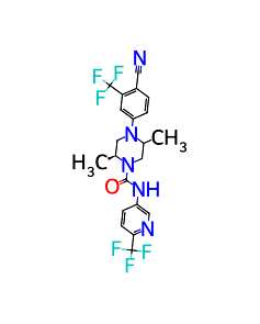 CC1CN(C(=O)Nc2ccc(C(F)(F)F)nc2)[C@@H](C)CN1c1ccc(C#N)c(C(F)(F)F)c1